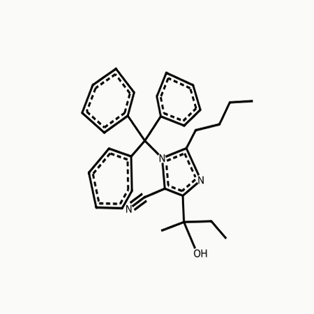 CCCCc1nc(C(C)(O)CC)c(C#N)n1C(c1ccccc1)(c1ccccc1)c1ccccc1